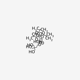 C=C(C)C(=O)OC(COP(=O)(O)OCCC(CO)(CO)CO)(OC(=O)C(=C)C)OC(=O)C(=C)C